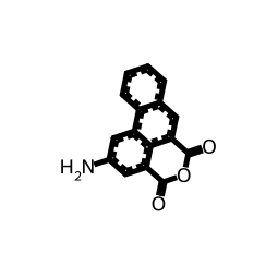 Nc1cc2c3c(cc4ccccc4c3c1)C(=O)OC2=O